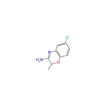 CC1Oc2ccc(Cl)cc2N=C1N